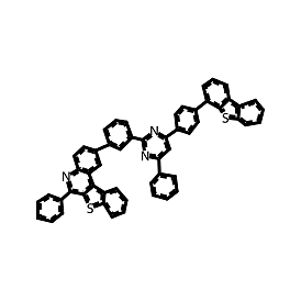 c1ccc(-c2cc(-c3ccc(-c4cccc5c4sc4ccccc45)cc3)nc(-c3cccc(-c4ccc5nc(-c6ccccc6)c6sc7ccccc7c6c5c4)c3)n2)cc1